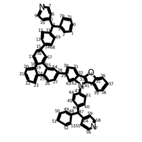 c1ccc(C(c2ccncc2)c2ccc(-c3ccc4c5ccccc5c5ccc(-c6ccc7c8oc9ccccc9c8n(-c8ccc(C(c9ccccc9)c9ccncc9)cc8)c7c6)cc5c4c3)cc2)cc1